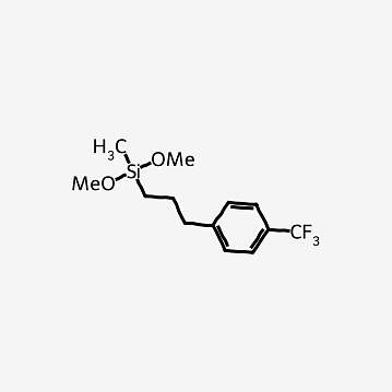 CO[Si](C)(CCCc1ccc(C(F)(F)F)cc1)OC